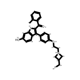 Cc1ccccc1C(=O)c1sc2cc(O)ccc2c1-c1ccc(OCCN2CC(CF)C2)cc1